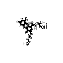 CC(CO)ONC(=O)c1cc(C=NOCCO)c(F)c(F)c1Nc1ccc(I)cc1F